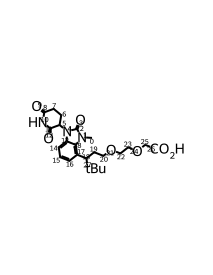 Cn1c(=O)n(C2CCC(=O)NC2=O)c2cccc(C(CCOCCOCC(=O)O)C(C)(C)C)c21